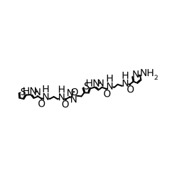 Nc1ccc(C(=O)NCCCNC(=O)c2cc(-c3cc(Cc4nc(C(=O)NCCCNC(=O)c5cc(-c6cccs6)[nH]n5)no4)cs3)[nH]n2)cn1